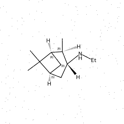 CCN[C@@H]1C[C@@H]2C[C@H]([C@H]1C)C2(C)C